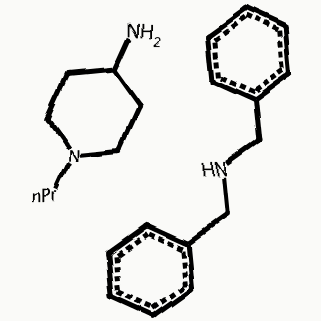 CCCN1CCC(N)CC1.c1ccc(CNCc2ccccc2)cc1